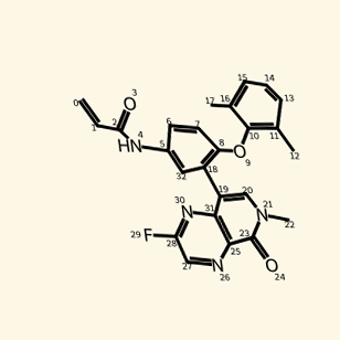 C=CC(=O)Nc1ccc(Oc2c(C)cccc2C)c(-c2cn(C)c(=O)c3ncc(F)nc23)c1